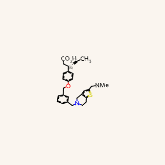 CC#C[C@@H](CC(=O)O)c1ccc(OCc2cccc(CN3CCc4sc(CNC)cc4C3)c2)cc1